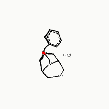 Cl.c1ccc(CN2C3CNCC2COC3)cc1